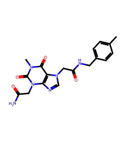 Cc1ccc(CNC(=O)Cn2cnc3c2c(=O)n(C)c(=O)n3CC(N)=O)cc1